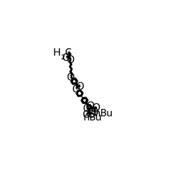 C=CC(=O)OCCCCCCOc1ccc(C(=O)O[C@H]2CC[C@H](c3ccc(C4O[C@@H](C(=O)OCCCC)[C@H](C(=O)OCCCC)O4)cc3)CC2)cc1